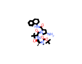 C[C@@H](C(=O)NC(C(=O)N1C[C@@H](N)CC1C(=O)NC1CCCc2ccccc21)C(C)(C)C)N(C)C(=O)OC(C)(C)C